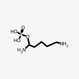 NCCCCC(N)OP(=O)(O)O